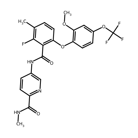 CNC(=O)c1ccc(NC(=O)c2c(Oc3ccc(OC(F)(F)F)cc3OC)ccc(C)c2F)cn1